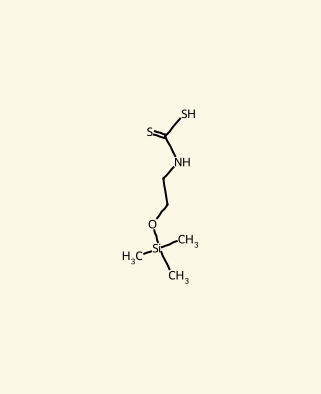 C[Si](C)(C)OCCNC(=S)S